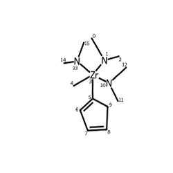 C[N](C)[Zr]([CH3])([C]1=CC=CC1)([N](C)C)[N](C)C